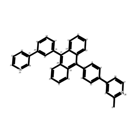 Cc1cc(-c2ccc(-c3c4ccccc4c(-c4cccc(-c5cccnc5)c4)c4ccccc34)cc2)ccn1